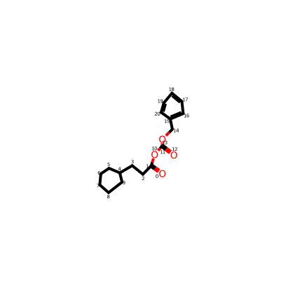 O=C(CCC1CCCCC1)OC(=O)OCc1ccccc1